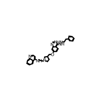 c1ccc(CCNNc2ncnc3cc(OCC4CCN(CCNc5ccnc6ccccc56)C4)ccc23)cc1